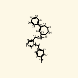 Fc1ccc(Cn2cncc2CNC2C=C(c3ccccc3)CCCC2)cc1